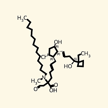 CCCCCCCCCCCCCCN(C)C(CC=O)(CCC=CC[C@@H]1[C@@H](C=CC[C@H](O)C2(CC)CCC2)[C@H](O)C[C@H]1Cl)C(=O)O